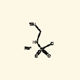 CC(C)(C)CNS(=O)(=O)[O-].[Na+]